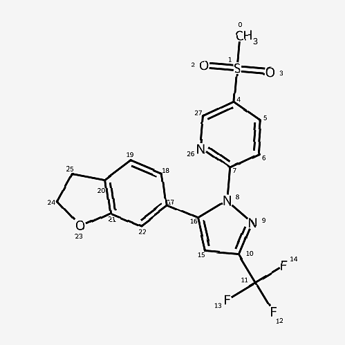 CS(=O)(=O)c1ccc(-n2nc(C(F)(F)F)cc2-c2ccc3c(c2)OCC3)nc1